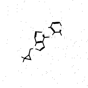 Cc1ccnc(C)c1Nc1nccc2c1ccn2CC1CC1(F)F